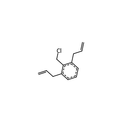 C=CCc1cccc(CC=C)c1CCl